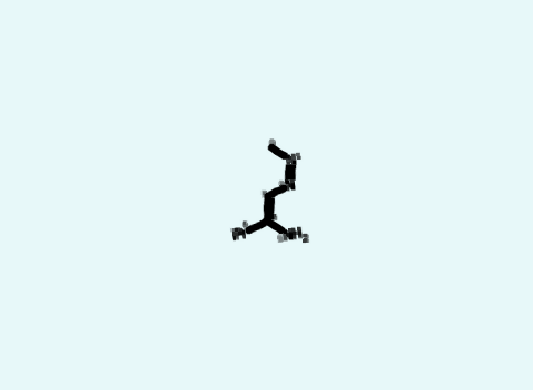 C/N=N\C=C(/N)C(C)C